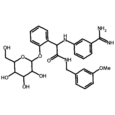 COc1cccc(CNC(=O)C(Nc2cccc(C(=N)N)c2)c2ccccc2OC2OC(CO)C(O)C(O)C2O)c1